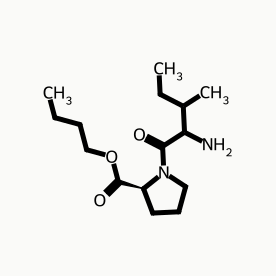 CCCCOC(=O)[C@@H]1CCCN1C(=O)C(N)C(C)CC